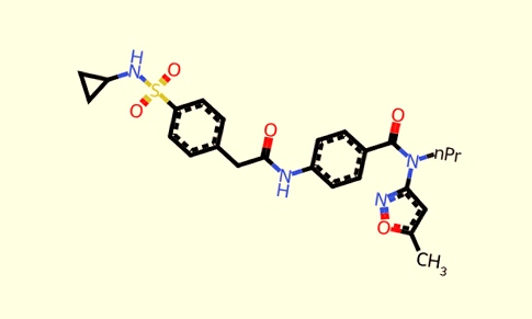 CCCN(C(=O)c1ccc(NC(=O)Cc2ccc(S(=O)(=O)NC3CC3)cc2)cc1)c1cc(C)on1